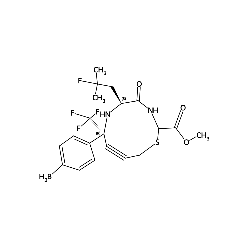 Bc1ccc([C@]2(C(F)(F)F)C#CCSC(C(=O)OC)NC(=O)[C@H](CC(C)(C)F)N2)cc1